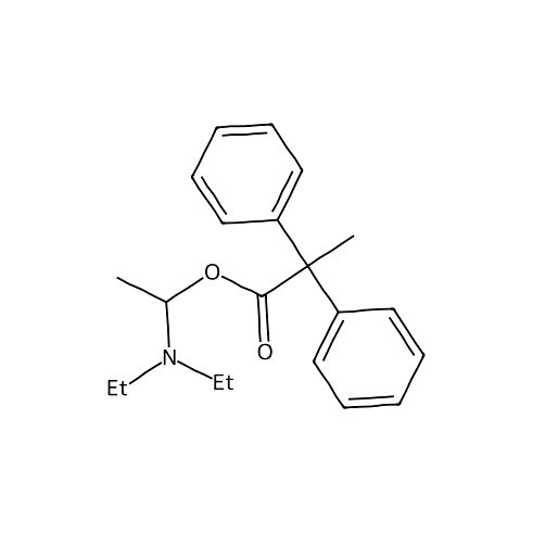 CCN(CC)C(C)OC(=O)C(C)(c1ccccc1)c1ccccc1